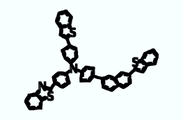 c1ccc2sc(-c3ccc(N(c4ccc(-c5ccc6ccc(-c7cc8ccccc8s7)cc6c5)cc4)c4ccc(-c5nc6ccccc6s5)cc4)cc3)cc2c1